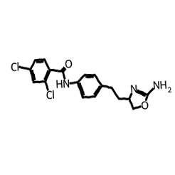 NC1=NC(CCc2ccc(NC(=O)c3ccc(Cl)cc3Cl)cc2)CO1